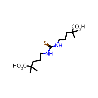 CC(C)(CCCNC(=S)NCCCC(C)(C)C(=O)O)C(=O)O